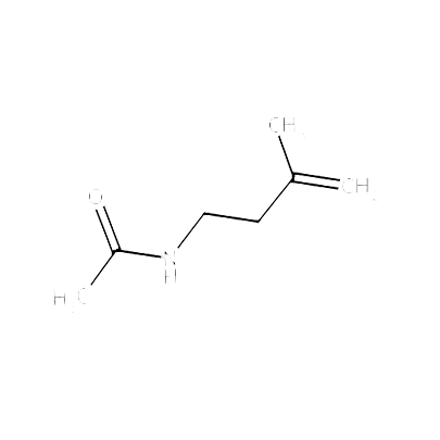 C=C(C)CCNC(C)=O